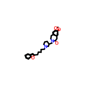 O=C1Cc2cc3c(cc2CCN1CC1CCCN(CCCCCc2cc4ccccc4o2)C1)OCO3